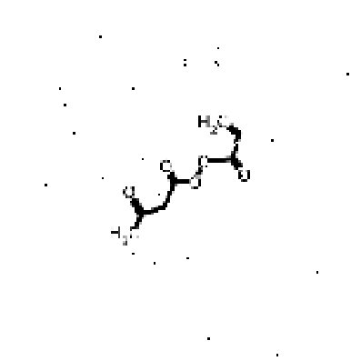 C=CC(=O)OOC(=O)CC(C)=O